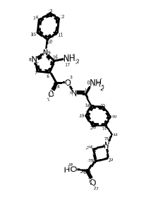 NC(=NOC(=O)c1cnn(-c2ccccc2)c1N)c1ccc(CN2CC(C(=O)O)C2)cc1